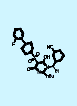 CCCCc1nc(=O)c(S(=O)(=O)c2ccc(-c3ccccc3F)cc2)c(O)n1[C@@H](CC)c1cccc(C#N)c1